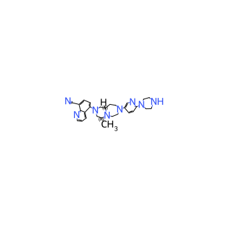 C[C@@H]1CN(c2ccc(C#N)c3ncccc23)C[C@@H]2CCN(c3ccc(N4CCNCC4)nc3)CCN21